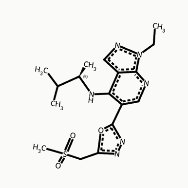 CCn1ncc2c(N[C@H](C)C(C)C)c(-c3nnc(CS(C)(=O)=O)o3)cnc21